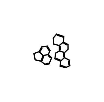 C1=CC2=CCC3=c4ccccc4=CCC3=C2CC1.c1cc2c3c(cccc3c1)CC2